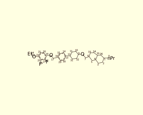 CCCC1CCC2CC(COC3CCC(c4ccc(COc5ccc(OCC)c(F)c5F)cc4)CC3)CCC2C1